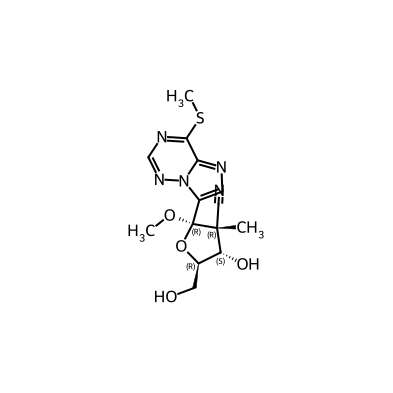 CO[C@@]1(c2cnc3c(SC)ncnn23)O[C@H](CO)[C@@H](O)[C@@]1(C)C#N